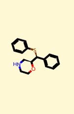 c1ccc(S[C@@H](c2ccccc2)[C@@H]2CNCCO2)cc1